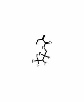 C=C(CC)C(=O)OCC(F)(F)C(F)C(F)(F)F